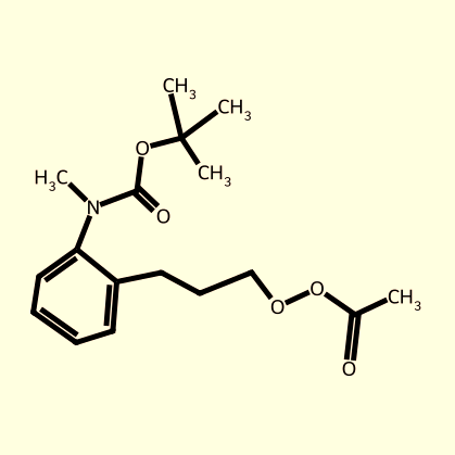 CC(=O)OOCCCc1ccccc1N(C)C(=O)OC(C)(C)C